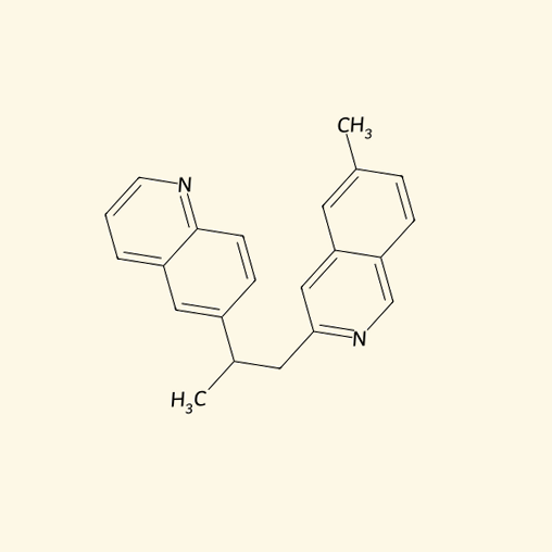 Cc1ccc2cnc(CC(C)c3ccc4ncccc4c3)cc2c1